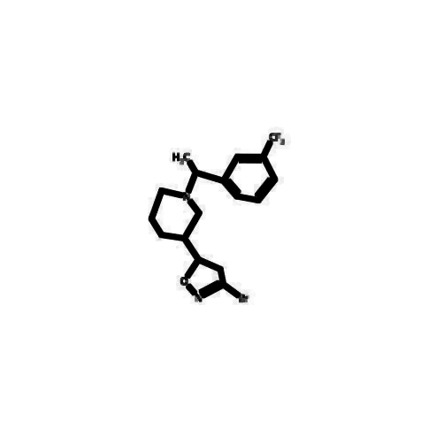 CC(c1cccc(C(F)(F)F)c1)N1CCCC(C2CC(Br)=NO2)C1